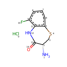 Cl.N[C@H]1CSc2cccc(F)c2NC1=O